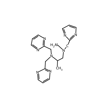 CC(C[N]([AlH2])Cc1ncccn1)N(Cc1ncccn1)Cc1ncccn1